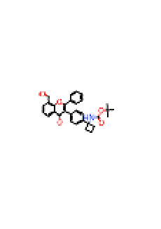 CC(C)(C)OC(=O)NC1(c2ccc(-c3c(-c4ccccc4)oc4c(C=O)cccc4c3=O)cc2)CCC1